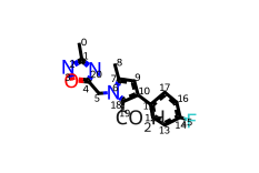 Cc1noc(Cn2c(C)cc(-c3ccc(F)cc3)c2C(=O)O)n1